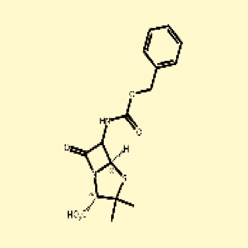 CC1(C)S[C@@H]2C(NC(=O)OCc3ccccc3)C(=O)N2[C@H]1C(=O)O